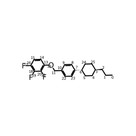 CCC[C@H]1CC[C@H](c2ccc(COc3ccc(F)c(F)c3F)cc2)CC1